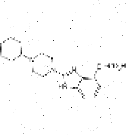 O=C(O)Oc1cccc2[nH]c(N3CCN(C4CCCCC4)CC3)nc12